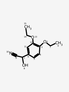 CCOc1ccc(C(O)C#N)cc1OCC